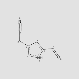 N#CCc1c[nH]c(C=O)c1